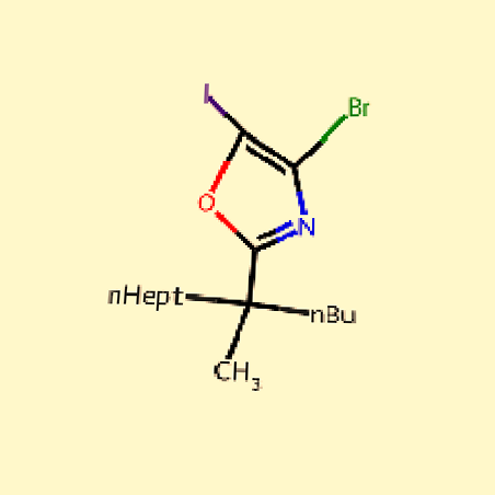 CCCCCCCC(C)(CCCC)c1nc(Br)c(I)o1